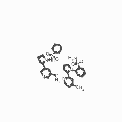 Cc1ccnc(-c2cccn2-c2ccccc2S(N)(=O)=O)c1.Cc1cncc(-c2cccn2NS(=O)(=O)c2ccccc2)c1